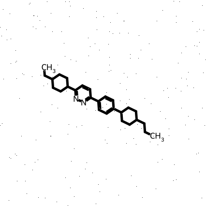 CCCC1CCC(c2ccc(-c3ccc(C4CCC(CC)CC4)nn3)cc2)CC1